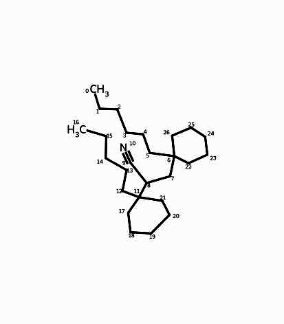 CCCCCCC1(CC(C#N)C2(CCCCC)CCCCC2)CCCCC1